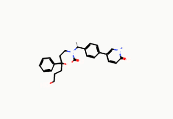 C[C@@H](c1ccc(-c2ccc(=O)n(C)c2)cc1)N1CCC(CCCO)(c2ccccc2)OC1=O